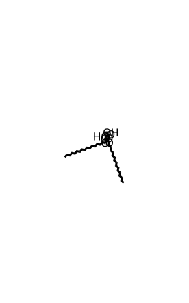 CCCCCCCCCCCCCCCCOP(=O)(OCCCCCCCCCCCCCCCC)OP(=O)(O)O